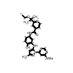 CNc1cc(-n2nc(C)cc2Nc2cc(NC(=O)c3ccnc(C(C)(C)OCI)c3)ccc2C)ncn1